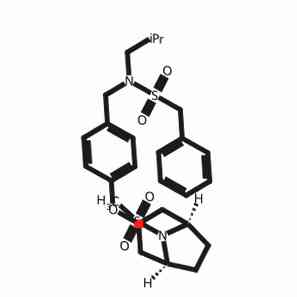 CC(C)CN(Cc1ccc(OC2C[C@H]3CC[C@@H](C2)N3S(C)(=O)=O)cc1)S(=O)(=O)Cc1ccccc1